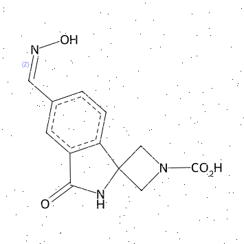 O=C1NC2(CN(C(=O)O)C2)c2ccc(/C=N\O)cc21